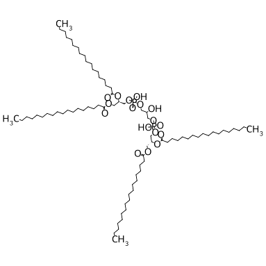 CCCCCCCCCCCCCCCCCC(=O)OC[C@H](CO[P@](=O)(O)OCC(O)CO[P@@](=O)(O)OC[C@@H](COC(=O)CCCCCCCCCCCCCCCCC)OC(=O)CCCCCCCCCCCCCCCCC)OC(=O)CCCCCCCCCCCCCCCCC